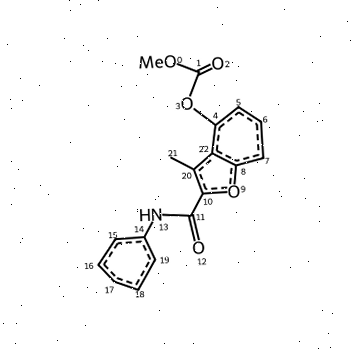 COC(=O)Oc1cccc2oc(C(=O)Nc3ccccc3)c(C)c12